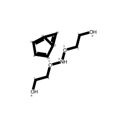 OCCONOCCO.c1cc2cc-2c1